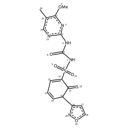 COc1nc(NC(=O)NS(=O)(=O)C2=CC=CC(c3ccon3)C2=S)ncc1C